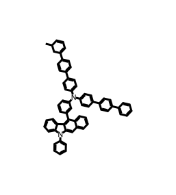 CC1C=CC=C(c2ccc(-c3ccc(N(c4ccc(-c5ccc(-c6ccccc6)cc5)cc4)c4cccc(-c5c6ccccc6cc6c5c5ccccc5n6-c5ccccc5)c4)cc3)cc2)C1